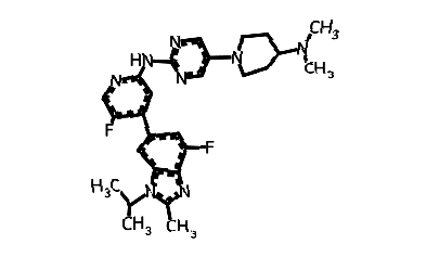 Cc1nc2c(F)cc(-c3cc(Nc4ncc(N5CCC(N(C)C)CC5)cn4)ncc3F)cc2n1C(C)C